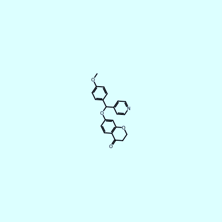 COc1ccc(C(Oc2ccc3c(c2)OCCC3=O)c2ccncc2)cc1